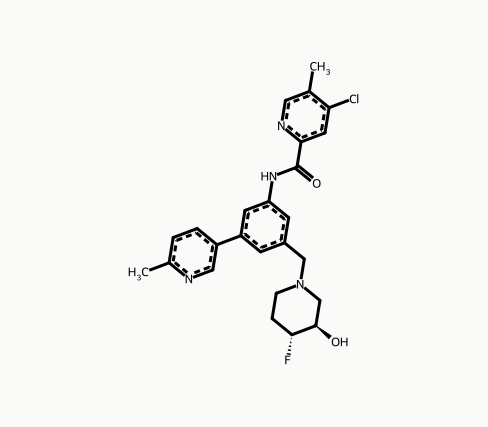 Cc1ccc(-c2cc(CN3CC[C@@H](F)[C@H](O)C3)cc(NC(=O)c3cc(Cl)c(C)cn3)c2)cn1